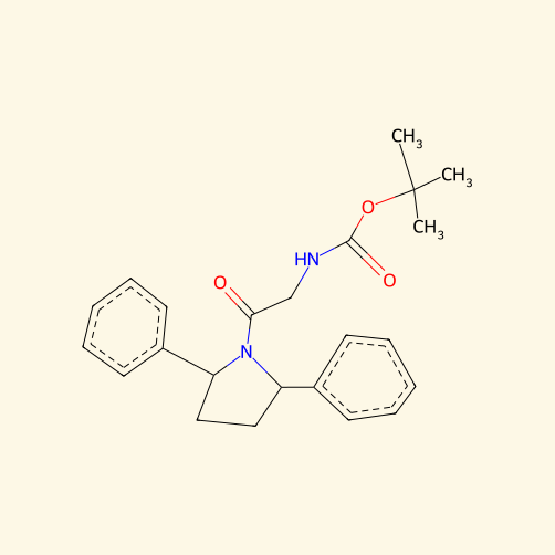 CC(C)(C)OC(=O)NCC(=O)N1C(c2ccccc2)CCC1c1ccccc1